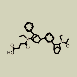 CCN(C(C)=O)C1C2CCC(C2)C1c1cccc(C2CC3CC2C(c2ccccc2)C3N(CC)C(=O)CCC(=O)O)c1